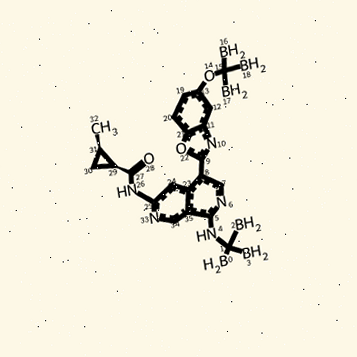 BC(B)(B)Nc1ncc(-c2nc3cc(OC(B)(B)B)ccc3o2)c2cc(NC(=O)[C@H]3C[C@H]3C)ncc12